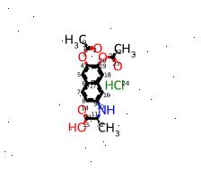 CC(=O)Oc1cc2ccc(N[C@@H](C)C(=O)O)cc2cc1OC(C)=O.Cl